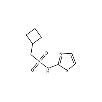 O=S(=O)(CC1CCC1)Nc1nccs1